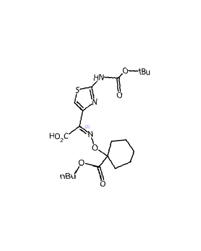 CCCCOC(=O)C1(O/N=C(\C(=O)O)c2csc(NC(=O)OC(C)(C)C)n2)CCCCC1